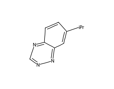 CC(C)c1ccc2ncnnc2c1